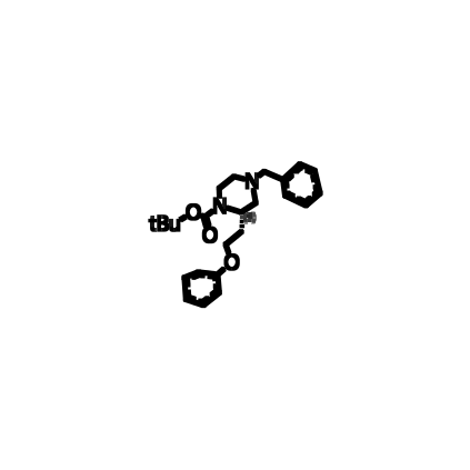 CC(C)(C)OC(=O)N1CCN(Cc2ccccc2)C[C@@H]1CCOc1ccccc1